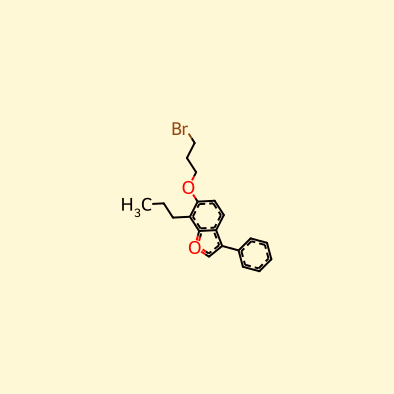 CCCc1c(OCCCBr)ccc2c(-c3ccccc3)coc12